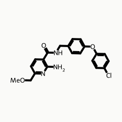 COCc1ccc(C(=O)NCc2ccc(Oc3ccc(Cl)cc3)cc2)c(N)n1